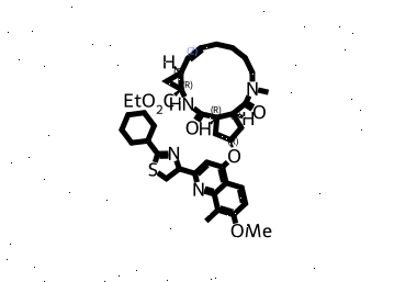 CCOC(=O)[C@@]12C[C@H]1/C=C\CCCCN(C)C(=O)[C@@H]1C[C@H](Oc3cc(C4CSC(C5CCCCC5)=N4)nc4c(C)c(OC)ccc34)C[C@H]1C(=O)N2